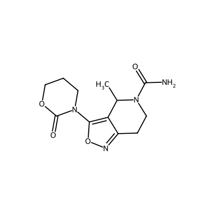 CC1c2c(noc2N2CCCOC2=O)CCN1C(N)=O